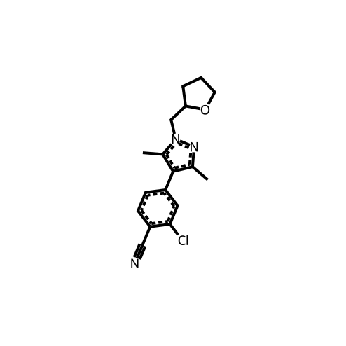 Cc1nn(CC2CCCO2)c(C)c1-c1ccc(C#N)c(Cl)c1